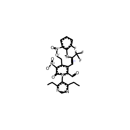 CCc1ncnc(CC)c1-n1c(C=O)c(/C=C(\N(C)c2c(F)cccc2[N+](=O)[O-])C(F)(F)F)c(CC)c([N+](=O)[O-])c1=O